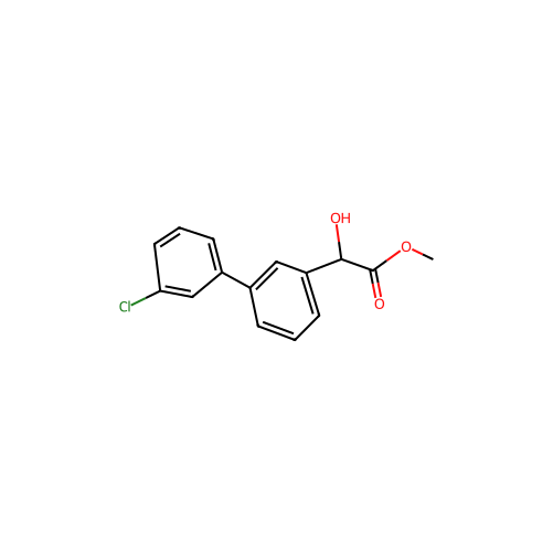 COC(=O)C(O)c1cccc(-c2cccc(Cl)c2)c1